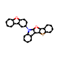 c1ccc2c(c1)oc1ccc(-n3c4ccccc4c4c5sc6ccccc6c5oc43)cc12